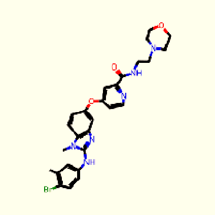 Cc1cc(Nc2nc3cc(Oc4ccnc(C(=O)NCCN5CCOCC5)c4)ccc3n2C)ccc1Br